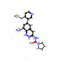 CCc1ccncc1-c1cc(N)c2nnc(NC(=O)N3CCCC3)cc2c1